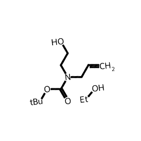 C=CCN(CCO)C(=O)OC(C)(C)C.CCO